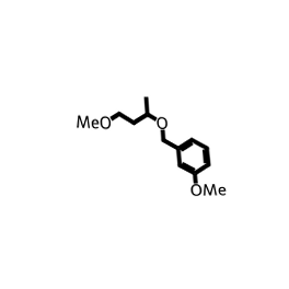 COCCC(C)OCc1cccc(OC)c1